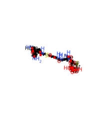 C=C(NCCSSCOCCCCCNC(=O)NCC#CC1=CN([C@H]2CC(OCS(=S)CC)[C@@H](COP(=O)(O)OP(=O)(O)OP(=O)(O)O)O2)C(=O)NC1N)c1ccc(C(=O)O)c(-c2c3ccc(=N)cc-3oc3cc(N)ccc23)c1